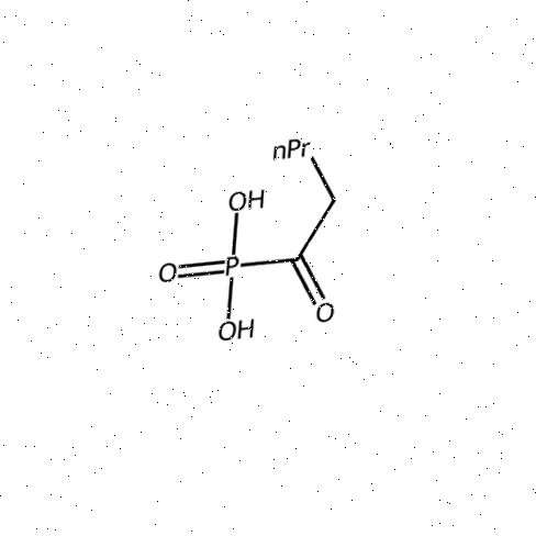 CCCCC(=O)P(=O)(O)O